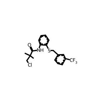 CC(C)(CCl)C(=O)Nc1ccccc1SCc1cccc(C(F)(F)F)c1